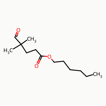 CCCCCCOC(=O)CCC(C)(C)C=O